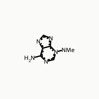 CNn1cnc(N)c2ncnc1-2